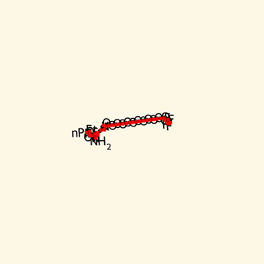 CCCN(OCC)C(=O)C1=Cc2sc(C#CC3CCN(C(=O)CCOCCOCCOCCOCCOCCOCCOCCOCCOCCOCCC(=O)Oc4c(F)c(F)cc(F)c4F)CC3)cc2N=C(N)C1